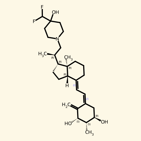 C=C1/C(=C\C=C2/CCC[C@]3(C)[C@@H]([C@@H](C)CN4CCC(O)(C(F)F)CC4)CC[C@@H]23)C[C@@H](O)[C@H](C)[C@@H]1O